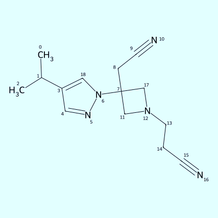 CC(C)c1cnn(C2(CC#N)CN(CCC#N)C2)c1